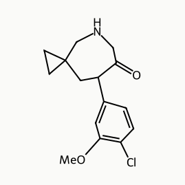 COc1cc(C2CC3(CC3)CNCC2=O)ccc1Cl